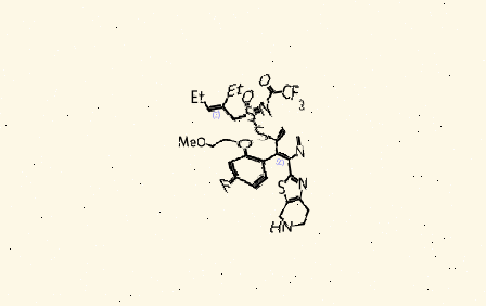 C=N/C(=C(\C(=C)SS(=O)(C/C(=C/CC)CC)=NC(=O)C(F)(F)F)c1ccc(F)cc1OCCOC)c1nc2c(s1)CNCC2